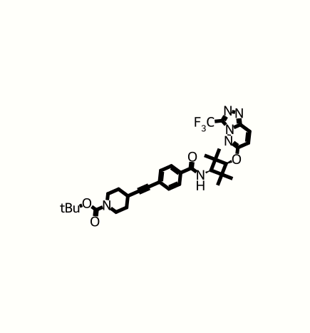 CC(C)(C)OC(=O)N1CCC(C#Cc2ccc(C(=O)N[C@H]3C(C)(C)[C@H](Oc4ccc5nnc(C(F)(F)F)n5n4)C3(C)C)cc2)CC1